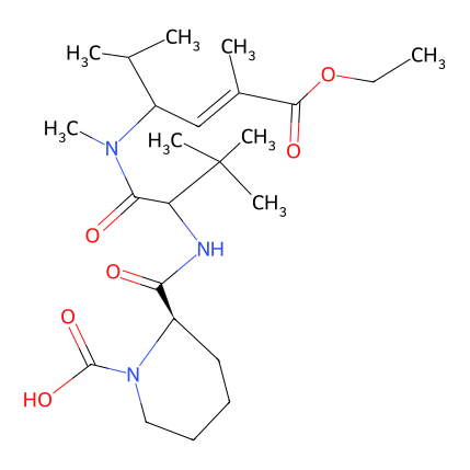 CCOC(=O)/C(C)=C/C(C(C)C)N(C)C(=O)C(NC(=O)[C@H]1CCCCN1C(=O)O)C(C)(C)C